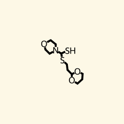 SC(SCCC1OCCCO1)N1CCOCC1